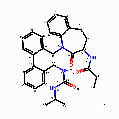 CCC(=O)N[C@@H]1CCc2ccccc2N(Cc2ccccc2-c2ccccc2CNC(=O)NC(C)C)C1=O